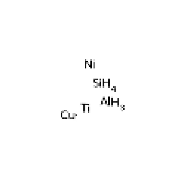 [AlH3].[Cu].[Ni].[SiH4].[Ti]